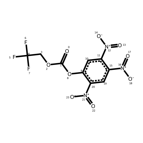 O=C(OCC(F)(F)F)Oc1cc([N+](=O)[O-])c([N+](=O)[O-])cc1[N+](=O)[O-]